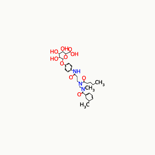 CCCCC(=O)N(CCC(=O)Nc1ccc(OC2OC(C(=O)O)C(O)C(O)C2O)cc1)CN(C)C(=O)C1=CC=CC(C)C1